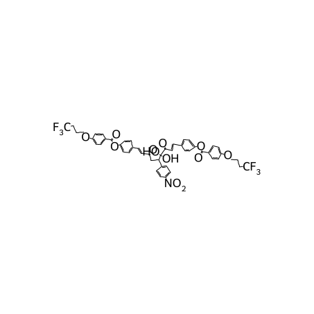 O=C(/C=C/c1ccc(OC(=O)c2ccc(OCCCC(F)(F)F)cc2)cc1)CC(c1ccc([N+](=O)[O-])cc1)C(O)(O)C(=O)/C=C/c1ccc(OC(=O)c2ccc(OCCCC(F)(F)F)cc2)cc1